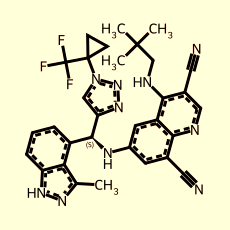 Cc1n[nH]c2cccc([C@H](Nc3cc(C#N)c4ncc(C#N)c(NCC(C)(C)C)c4c3)c3cn(C4(C(F)(F)F)CC4)nn3)c12